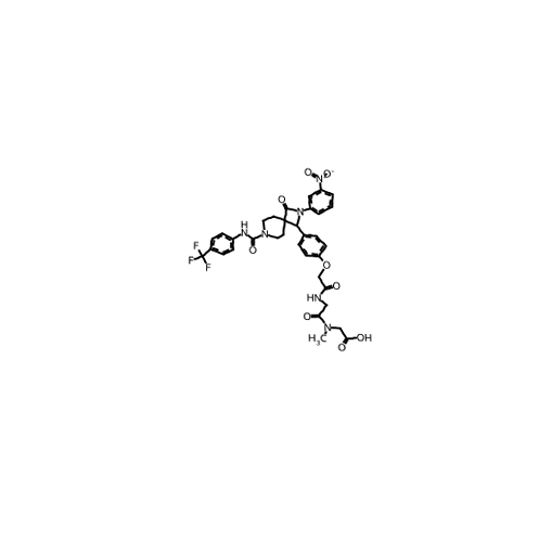 CN(CC(=O)O)C(=O)CNC(=O)COc1ccc(C2N(c3cccc([N+](=O)[O-])c3)C(=O)C23CCN(C(=O)Nc2ccc(C(F)(F)F)cc2)CC3)cc1